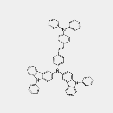 C(=Cc1ccc(N(c2ccc3c(c2)c2ccccc2n3-c2ccccc2)c2ccc3c(c2)c2ccccc2n3-c2ccccc2)cc1)c1ccc(N(c2ccccc2)c2ccccc2)cc1